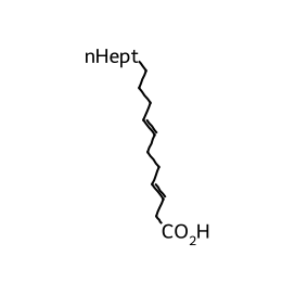 CCCCCCCCCCC=CCCC=CCC(=O)O